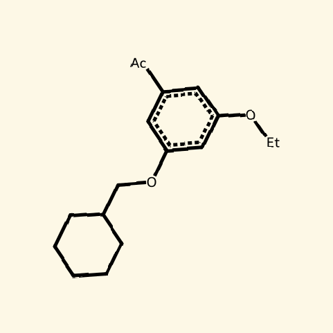 CCOc1cc(OCC2CCCCC2)cc(C(C)=O)c1